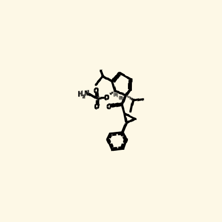 CC(C)C1=CC=C[C@](C(=O)C2CC2c2ccccc2)(C(C)C)[C@@H]1OS(N)(=O)=O